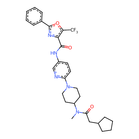 CN(C(=O)CC1CCCC1)C1CCN(c2ccc(NC(=O)c3nc(-c4ccccc4)oc3C(F)(F)F)cn2)CC1